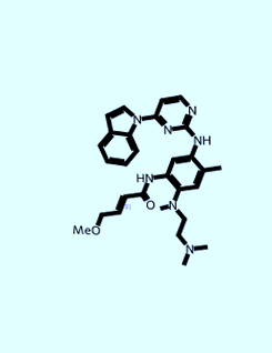 COC/C=C/C(=O)Nc1cc(Nc2nccc(-n3ccc4ccccc43)n2)c(C)cc1N(C)CCN(C)C